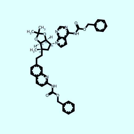 CC1(C)O[C@H]2[C@H](n3ccc4c(NC(=O)OCc5ccccc5)ncnc43)C[C@](C)(CCc3ccc4ccc(NC(=O)OCc5ccccc5)nc4c3)[C@H]2O1